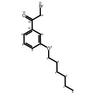 CCCCCCOc1cccc(C(=O)CBr)c1